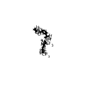 Cn1nc(OCC(F)(F)C(F)(F)C(F)(F)F)c(C(F)(F)F)c1N/C=C(\C=N)c1ccc(Cl)c(C(=O)NC2(C#N)CC2)c1